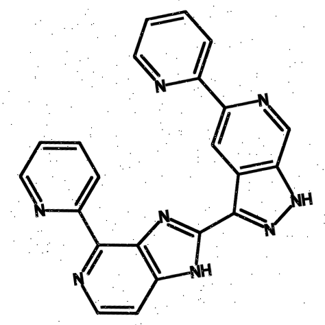 c1ccc(-c2cc3c(-c4nc5c(-c6ccccn6)nccc5[nH]4)n[nH]c3cn2)nc1